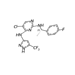 C[C@H](Nc1ncc(Cl)c(Nc2cc(C(F)(F)F)[nH]n2)n1)c1ccc(F)cc1